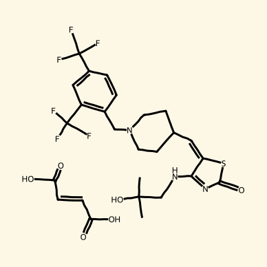 CC(C)(O)CNC1=NC(=O)SC1=CC1CCN(Cc2ccc(C(F)(F)F)cc2C(F)(F)F)CC1.O=C(O)C=CC(=O)O